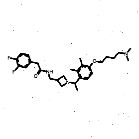 Cc1c(OCCCCN(C)C)ccc(C(C)N2CC(CNC(=O)Cc3ccc(F)c(F)c3)C2)c1C